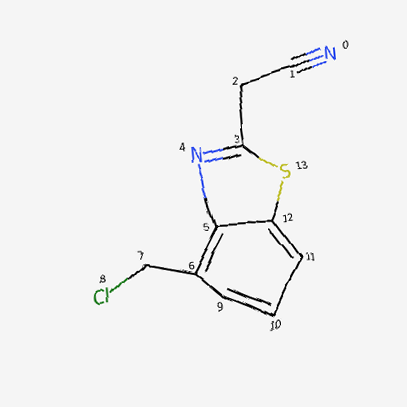 N#CCc1nc2c(CCl)cccc2s1